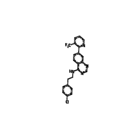 FC(F)(F)c1cccnc1-c1ccc2c(NCCc3ccc(Cl)cc3)ncnc2c1